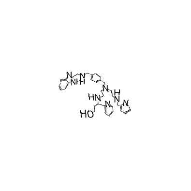 OCCC(NCCN(CCNCc1ccccn1)Cc1ccc(CNCc2nc3ccccc3[nH]2)cc1)c1ccccn1